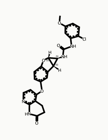 COc1ccc(Cl)c(NC(=O)N[C@@H]2[C@H]3Oc4ccc(Oc5ccnc6c5CCC(=O)N6)cc4[C@@H]23)c1